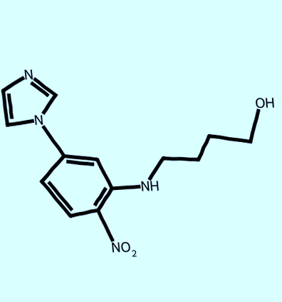 O=[N+]([O-])c1ccc(-n2ccnc2)cc1NCCCCO